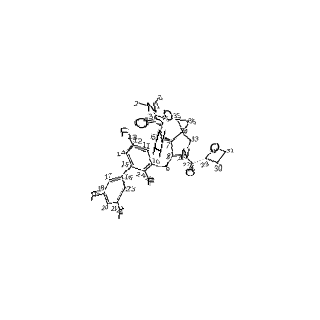 CN(C)S(=O)(=O)N[C@@H]1[C@H](Cc2cc(F)cc(-c3cc(F)cc(F)c3)c2F)N(C(=O)[C@H]2CCO2)CC12CC2